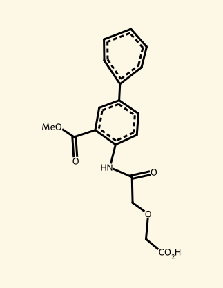 COC(=O)c1cc(-c2ccccc2)ccc1NC(=O)COCC(=O)O